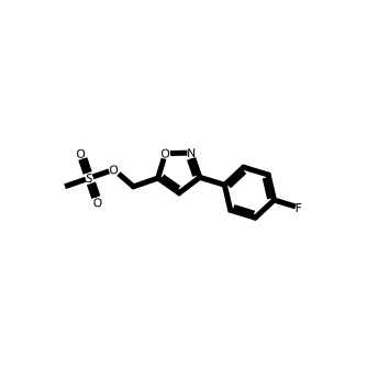 CS(=O)(=O)OCc1cc(-c2ccc(F)cc2)no1